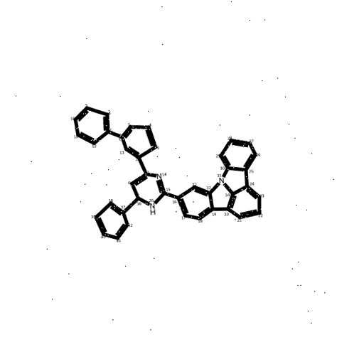 C1=C(c2cccc(-c3ccccc3)c2)N=C(c2ccc3c4cccc5c6ccccc6n(c3c2)c54)NC1c1ccccc1